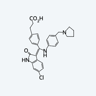 O=C(O)CCc1ccc(C(Nc2ccc(CN3CCCC3)cc2)=C2C(=O)Nc3cc(Cl)ccc32)cc1